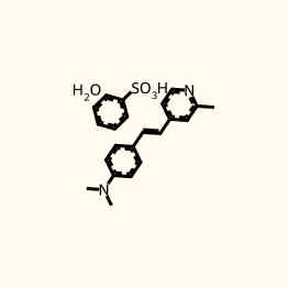 Cc1cc(C=Cc2ccc(N(C)C)cc2)ccn1.O.O=S(=O)(O)c1ccccc1